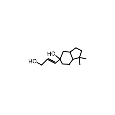 CC1(C)CCC2CC(O)(/C=C/CO)CCC21